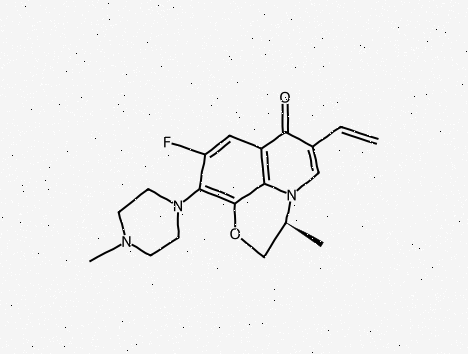 C=Cc1cn2c3c(c(N4CCN(C)CC4)c(F)cc3c1=O)OC[C@@H]2C